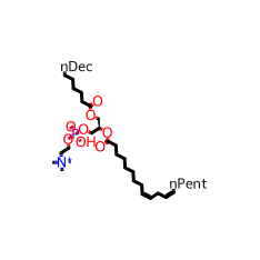 CCCCC/C=C\C/C=C\CCCCCCCC(=O)O[C@H](COC(=O)CCCCCCCCCCCCCCC)COP(=O)(O)OCC[N+](C)(C)C